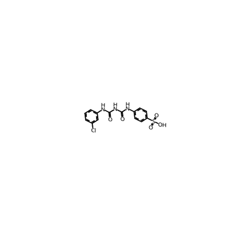 O=C(NC(=O)Nc1cccc(Cl)c1)Nc1ccc(S(=O)(=O)O)cc1